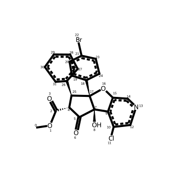 COC(=O)[C@H]1C(=O)[C@@]2(O)c3c(Cl)cncc3O[C@@]2(c2ccc(Br)cc2)[C@@H]1c1ccccc1